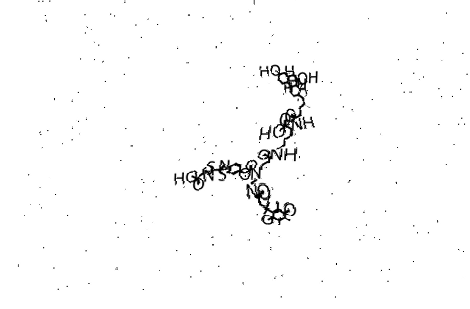 CC1=C(C)C(=O)C(C(C)(C)CC(=O)N(C)CCN(CCCC(=O)NCCCCC(NC(=O)CC[C@@H](C)[C@H]2CC[C@H]3[C@@H]4[C@H](O)C[C@@H]5C[C@H](O)CC[C@]5(C)[C@H]4CC[C@]23C)C(=O)O)C(=O)Oc2ccc3nc(C4=NC(C(=O)O)CS4)sc3c2)=C(C)C1=O